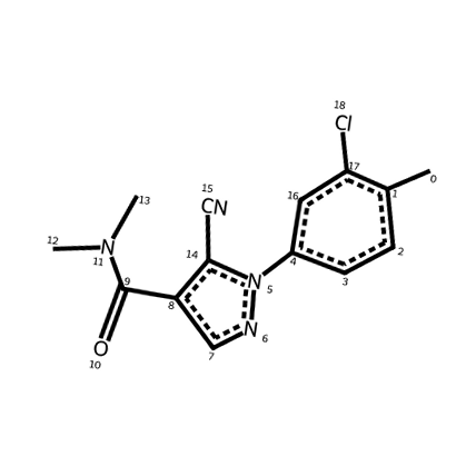 Cc1ccc(-n2ncc(C(=O)N(C)C)c2C#N)cc1Cl